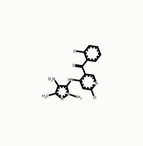 Cc1nn(P)c(Nc2cc(Cl)ncc2C(=O)c2ccccc2Cl)c1[N+](=O)[O-]